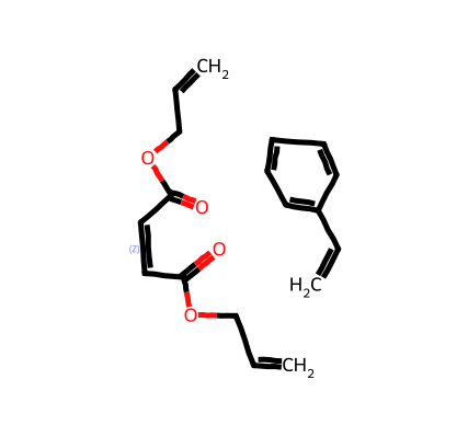 C=CCOC(=O)/C=C\C(=O)OCC=C.C=Cc1ccccc1